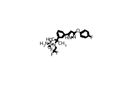 CC(C)(c1cccc(-c2cc(Oc3ccc(F)cc3)n[nH]2)c1)N(CC(F)(F)F)S(N)(=O)=O